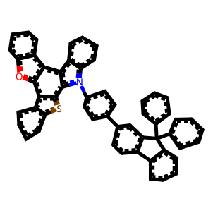 c1ccc(C2(c3ccccc3)c3ccccc3-c3ccc(-c4ccc(-n5c6ccccc6c6c7c8ccccc8oc7c7c8ccccc8sc7c65)cc4)cc32)cc1